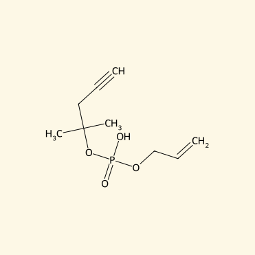 C#CCC(C)(C)OP(=O)(O)OCC=C